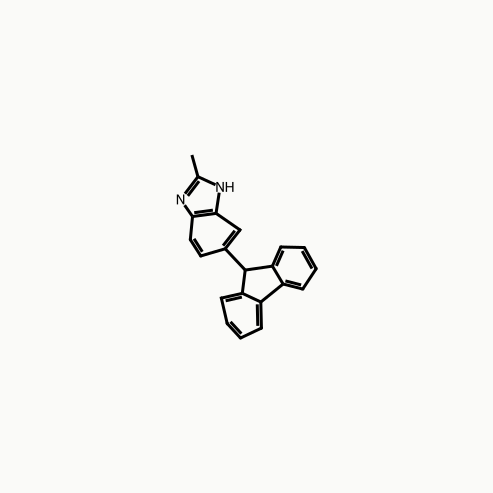 Cc1nc2ccc(C3c4ccccc4-c4ccccc43)cc2[nH]1